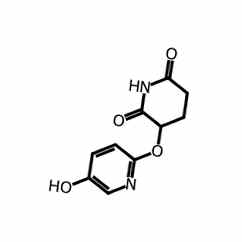 O=C1CCC(Oc2ccc(O)cn2)C(=O)N1